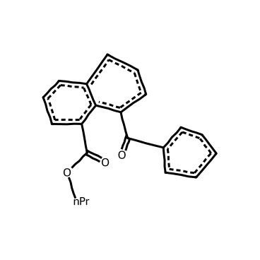 CCCOC(=O)c1cccc2cccc(C(=O)c3ccccc3)c12